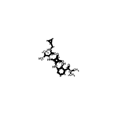 CC(C)[C@@H](Nc1c(Nc2cccc(C(=O)N(C)C)c2O)c(=O)c1=O)C(=O)NCC1CC1